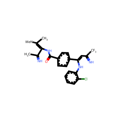 CN/C(C)=C(/NC(=O)c1ccc(/C(=C/C(=N)C(F)(F)F)Nc2ccccc2Cl)cc1)C(C)=N